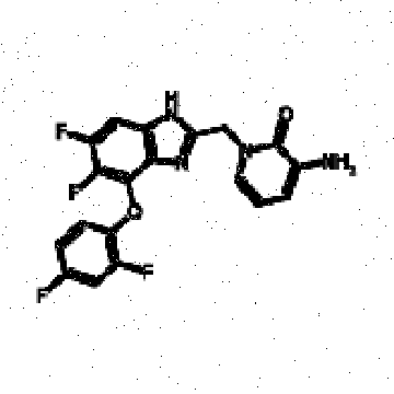 Nc1cccn(Cc2nc3c(Oc4ccc(F)cc4F)c(F)c(F)cc3[nH]2)c1=O